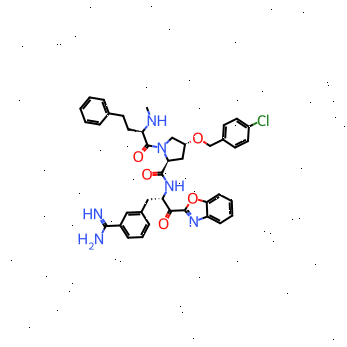 CN[C@H](CCc1ccccc1)C(=O)N1C[C@H](OCc2ccc(Cl)cc2)C[C@H]1C(=O)N[C@@H](Cc1cccc(C(=N)N)c1)C(=O)c1nc2ccccc2o1